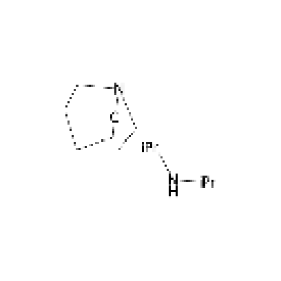 C1CN2CCC1CC2.CC(C)NC(C)C